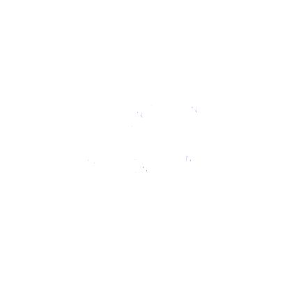 ClC1C=CC=CC1(Cl)c1cc2cc3nc(cc4ccc(cc5nc(cc1[nH]2)C=C5)[nH]4)C=C3